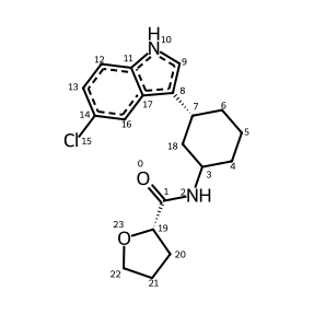 O=C(NC1CCC[C@@H](c2c[nH]c3ccc(Cl)cc23)C1)[C@@H]1CCCO1